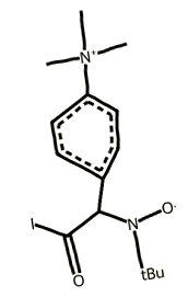 CC(C)(C)N([O])C(C(=O)I)c1ccc([N+](C)(C)C)cc1